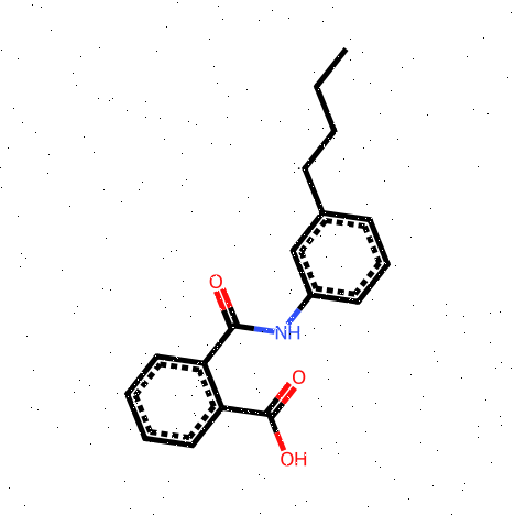 CCC[CH]c1cccc(NC(=O)c2ccccc2C(=O)O)c1